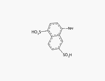 [NH]c1ccc(S(=O)(=O)O)c2ccc(S(=O)(=O)O)cc12